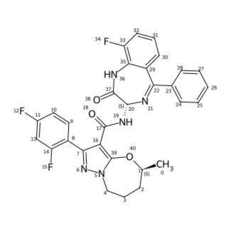 C[C@H]1CCCn2nc(-c3ccc(F)cc3F)c(C(=O)N[C@H]3N=C(c4ccccc4)c4cccc(F)c4NC3=O)c2O1